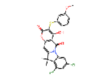 COc1cccc(Sc2c(O)c3c(=O)n4c(cc3oc2=O)C(C)(C)c2c(Cl)cc(Cl)cc2-4)c1